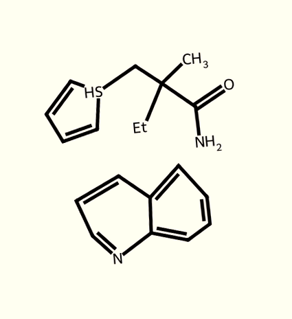 CCC(C)(C[SH]1C=CC=C1)C(N)=O.c1ccc2ncccc2c1